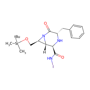 CC(C)(C)[Si](C)(C)OC[C@@H]1[C@H]2[C@H](C(=O)NI)N[C@@H](Cc3ccccc3)C(=O)N21